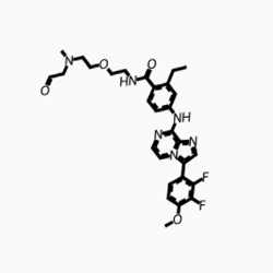 CCc1cc(Nc2nccn3c(-c4ccc(OC)c(F)c4F)cnc23)ccc1C(=O)NCCOCCN(C)CC=O